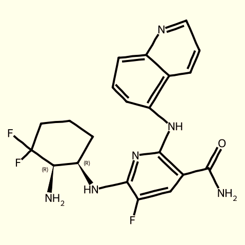 NC(=O)c1cc(F)c(N[C@@H]2CCCC(F)(F)[C@@H]2N)nc1Nc1cccc2ncccc12